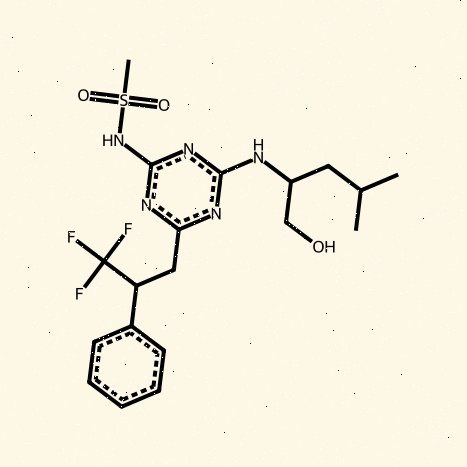 CC(C)CC(CO)Nc1nc(CC(c2ccccc2)C(F)(F)F)nc(NS(C)(=O)=O)n1